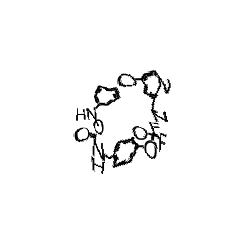 N#Cc1cc(Oc2ccc(NOC(=O)Nc3ccc4c(c3)OC(F)(F)O4)cc2)ccn1